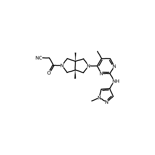 Cc1cnc(Nc2cnn(C)c2)nc1N1C[C@]2(C)CN(C(=O)CC#N)C[C@]2(C)C1